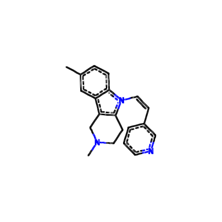 Cc1ccc2c(c1)c1c(n2/C=C\c2cccnc2)CCN(C)C1